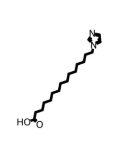 O=C(O)CCCCCCCCCCCCCCn1ccnc1